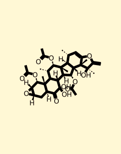 C=C1OC2=C[C@@H](C)[C@H]3[C@@H]([C@H](OC(C)=O)[C@H]4[C@H]5C([C@H](C)[C@H](OC(C)=O)[C@]34C)[C@]3(C)[C@H](C[C@@H]4O[C@@H]4[C@@H]3OC(C)=O)C(=O)C5(O)O)[C@@]2(C)[C@]1(C)O